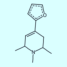 CC1C=C(c2ccco2)CC(C)N1C